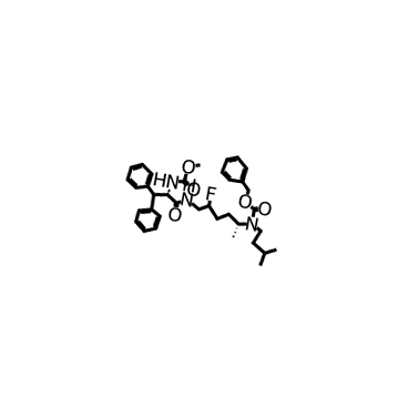 COC(=O)N[C@H](C(=O)NCC(F)CC[C@@H](C)N(CCC(C)C)C(=O)OCc1ccccc1)C(c1ccccc1)c1ccccc1